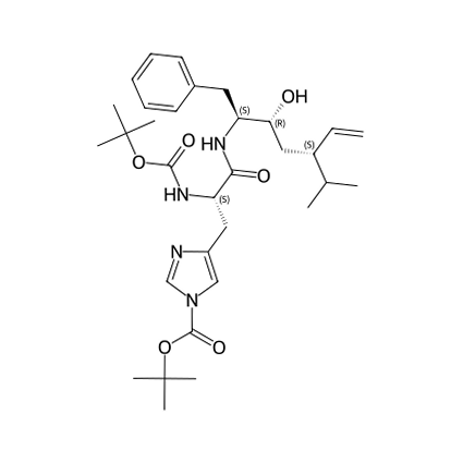 C=C[C@@H](C[C@@H](O)[C@H](Cc1ccccc1)NC(=O)[C@H](Cc1cn(C(=O)OC(C)(C)C)cn1)NC(=O)OC(C)(C)C)C(C)C